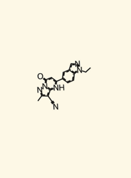 CCn1ncc2cc(-c3cc(=O)n4nc(C)c(C#N)c4[nH]3)ccc21